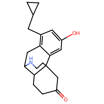 O=C1CCC2C3Cc4c(CC5CC5)cc(O)cc4C2(CCN3)C1